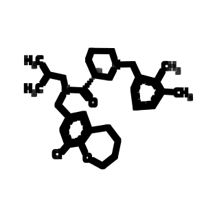 Cc1cccc(CN2CCC[C@@H](C(=O)N(Cc3cc(Cl)c4c(c3)CCCCO4)CC(C)C)C2)c1C